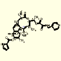 CO[C@H]1C[C@H]2C=CC3C4[C@H](O)[C@@H](C)[C@@H](OC(=O)c5ccc[nH]5)[C@@H]3O[C@]42/C(C)=C/[C@@H](C)[C@@H]([C@@H](C)OC(=O)C(=O)NCc2ccncc2)OC1=O